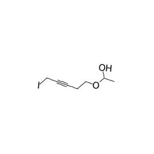 CC(O)OCCC#CCI